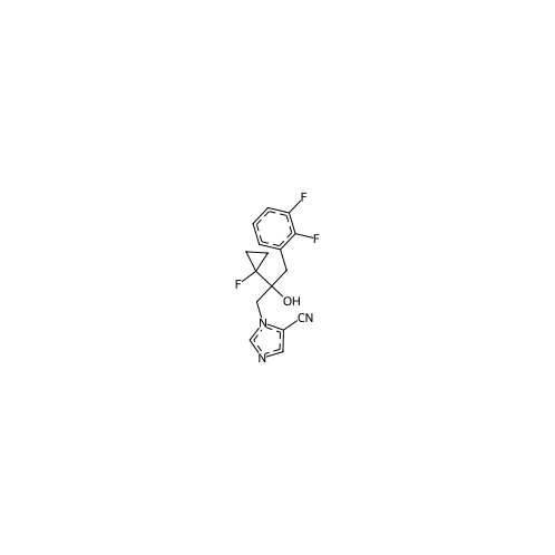 N#Cc1cncn1CC(O)(Cc1cccc(F)c1F)C1(F)CC1